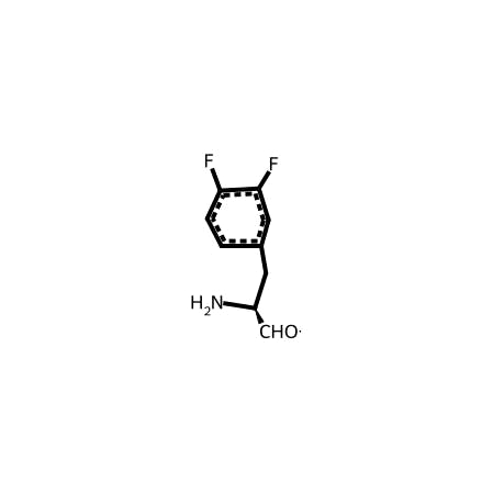 N[C@H]([C]=O)Cc1ccc(F)c(F)c1